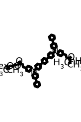 CCCCCCCC(C)(C)C(=O)CCc1ccc(N(c2ccc(-c3ccccc3)cc2)c2ccc(-c3ccc(-c4ccc(N(c5ccc(CCC(=O)OCCOC(C)(C)CCCCCC)cc5)c5ccc(-c6ccccc6)cc5)cc4)cc3)cc2)cc1